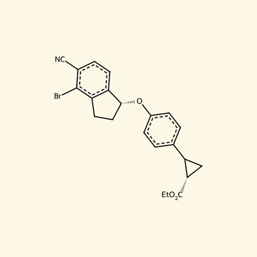 CCOC(=O)[C@H]1CC1c1ccc(O[C@@H]2CCc3c2ccc(C#N)c3Br)cc1